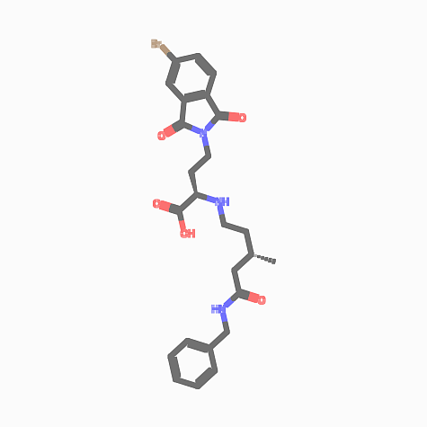 C[C@@H](CCN[C@H](CCN1C(=O)c2ccc(Br)cc2C1=O)C(=O)O)CC(=O)NCc1ccccc1